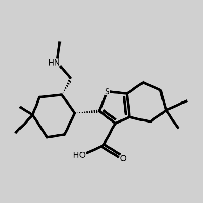 CNC[C@H]1CC(C)(C)CC[C@H]1c1sc2c(c1C(=O)O)CC(C)(C)CC2